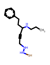 CCCNC(C#CCNNS)CCc1ccccc1